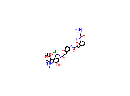 COC(=O)c1c(C)[nH]c2c(O)cc3c(c12)[C@H](CCl)CN3C(=O)c1cc2cc(NC(=O)c3cc4cccc(NC(=O)CCN)c4o3)ccc2o1